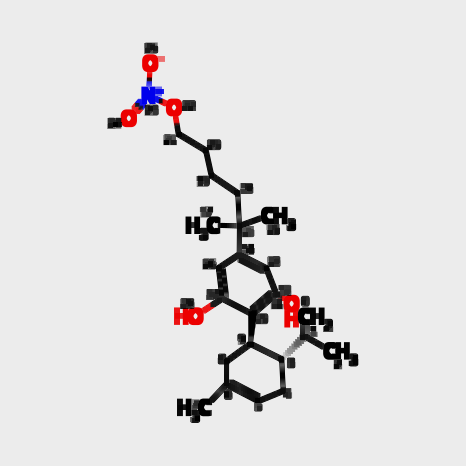 C=C(C)[C@@H]1CC=C(C)C[C@H]1c1c(O)cc(C(C)(C)CCCCO[N+](=O)[O-])cc1O